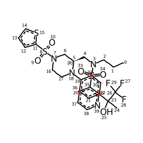 CCCN(C[C@@H]1CN(S(=O)(=O)c2cccs2)CCN1c1ccc(C(C)(O)C(F)(F)F)cc1)S(=O)(=O)c1cccnc1